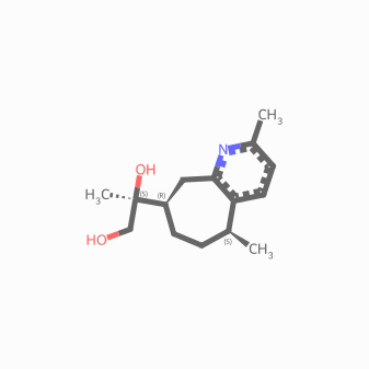 Cc1ccc2c(n1)C[C@H]([C@](C)(O)CO)CC[C@@H]2C